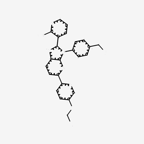 Nc1ncccc1-c1nc2ccc(-c3ccc(OCF)cn3)nc2n1-c1ccc(CCl)cc1